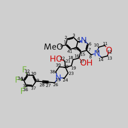 COc1ccc2ncc(CN3CCOCC3)c([C@H](O)CCC3(CO)CCN(CC#Cc4cc(F)c(F)c(F)c4)CC3)c2c1